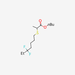 CCCCOC(=O)C(C)SCCCCC(F)(F)CC